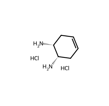 Cl.Cl.N[C@@H]1CC=CC[C@@H]1N